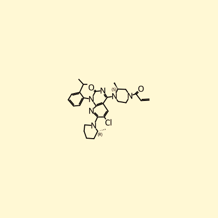 C=CC(=O)N1CCN(c2nc(=O)n(-c3ccccc3C(C)C)c3nc(N4CCCC[C@H]4C)c(Cl)cc23)[C@@H](C)C1